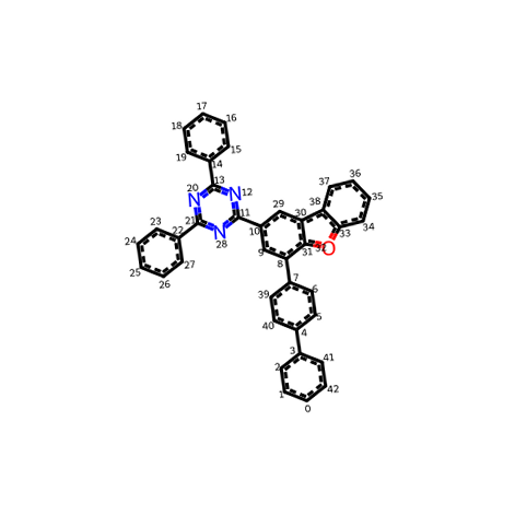 c1ccc(-c2ccc(-c3cc(-c4nc(-c5ccccc5)nc(-c5ccccc5)n4)cc4c3oc3ccccc34)cc2)cc1